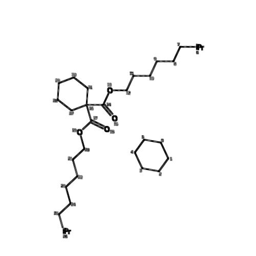 C1CCCCC1.CC(C)CCCCCCOC(=O)C1(C(=O)OCCCCCCC(C)C)CCCCC1